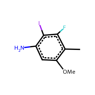 COc1cc(N)c(I)c(F)c1C